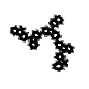 CC1(C)c2ccccc2-c2ccc(-n3c4ccccc4c4cc(-c5ccc6c(c5)c5cc(-c7ccc8c(c7)c7ccccc7n8-c7ccc8c(c7)C(C)(C)c7ccccc7-8)ccc5n6-c5ccc6cnncc6c5)ccc43)cc21